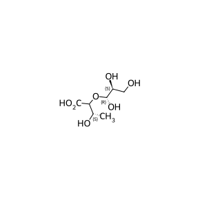 C[C@H](O)C(O[C@@H](O)[C@@H](O)CO)C(=O)O